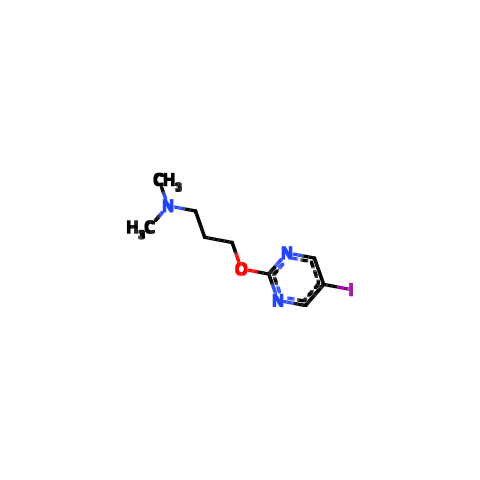 CN(C)CCCOc1ncc(I)cn1